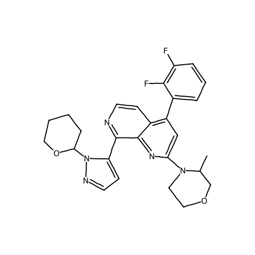 CC1COCCN1c1cc(-c2cccc(F)c2F)c2ccnc(-c3ccnn3C3CCCCO3)c2n1